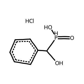 Cl.O=[PH](O)C(O)c1ccccc1